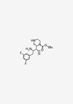 CC(C)(C)OC(=O)N1CCNC[C@@H]1[C@@H](O)[C@H](N)Cc1cc(F)cc(F)c1